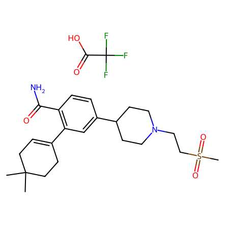 CC1(C)CC=C(c2cc(C3CCN(CCS(C)(=O)=O)CC3)ccc2C(N)=O)CC1.O=C(O)C(F)(F)F